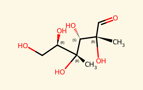 C[C@@](O)([C@H](O)CO)[C@H](O)[C@@](C)(O)C=O